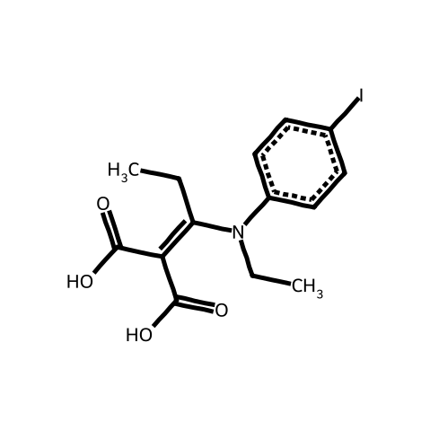 CCC(=C(C(=O)O)C(=O)O)N(CC)c1ccc(I)cc1